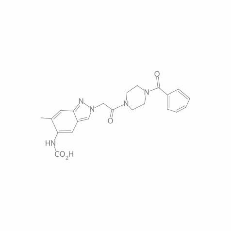 Cc1cc2nn(CC(=O)N3CCN(C(=O)c4ccccc4)CC3)cc2cc1NC(=O)O